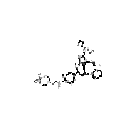 Nc1c([S+]([O-])C2CCC2)sc2nc(-c3cnc(NCCN4CCS(=O)(=O)CC4)nc3)cc(-c3ccccc3)c12